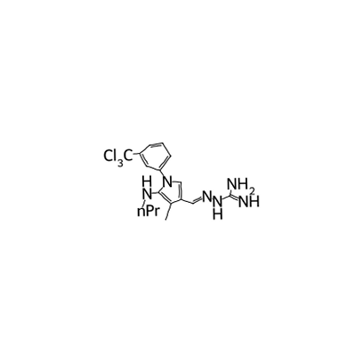 CCCNc1c(C)c(C=NNC(=N)N)cn1-c1cccc(C(Cl)(Cl)Cl)c1